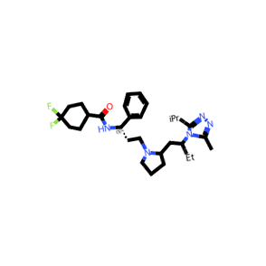 CCC(CC1CCCN1CC[C@H](NC(=O)C1CCC(F)(F)CC1)c1ccccc1)n1c(C)nnc1C(C)C